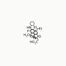 CCC(CC)n1cc(C(=O)NCC(=O)O)c(=O)c2c(N(C)C)c(F)c(NC3CCCCC3)cc21